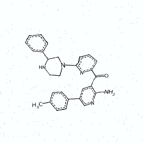 Cc1ccc(-c2cnc(N)c(C(=O)c3cccc(N4CCNC(c5ccccc5)C4)n3)c2)cc1